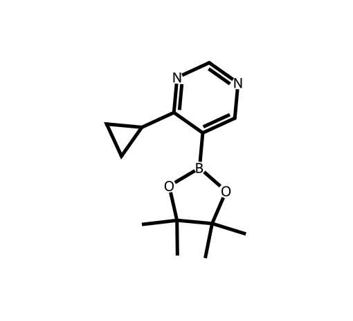 CC1(C)OB(c2cncnc2C2CC2)OC1(C)C